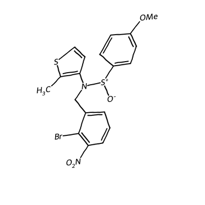 COc1ccc([S+]([O-])N(Cc2cccc([N+](=O)[O-])c2Br)c2ccsc2C)cc1